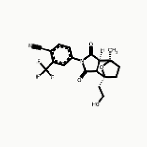 C[C@]12CC[C@](CCO)(O1)C1C(=O)N(c3ccc(C#N)c(C(F)(F)F)c3)C(=O)[C@H]12